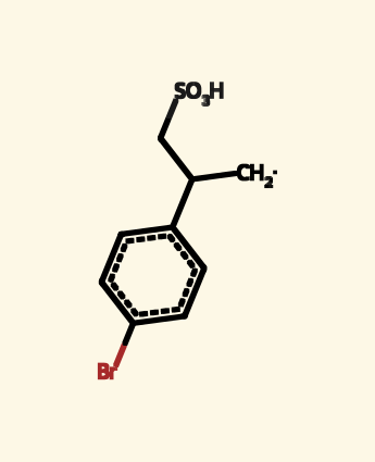 [CH2]C(CS(=O)(=O)O)c1ccc(Br)cc1